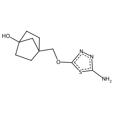 Nc1nnc(OCC23CCC(O)(CC2)C3)s1